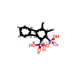 Cc1c(C)c(P(=O)(O)O)c(P(=O)(O)O)c2c1-c1ccccc1-2